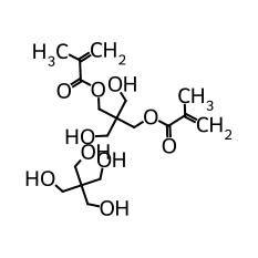 C=C(C)C(=O)OCC(CO)(CO)COC(=O)C(=C)C.OCC(CO)(CO)CO